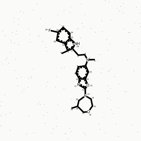 Cc1c(CCN(C)c2ccc3nc(N4CCOCC(C)C4)oc3c2)[nH]c2ccc(F)cc12